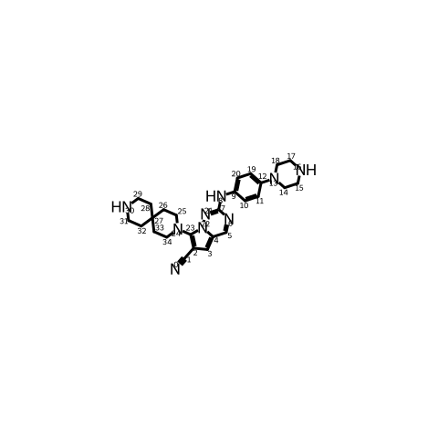 N#Cc1cc2cnc(Nc3ccc(N4CCNCC4)cc3)nn2c1N1CCC2(CCNCC2)CC1